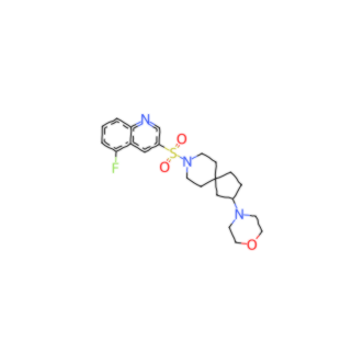 O=S(=O)(c1cnc2cccc(F)c2c1)N1CCC2(CCC(N3CCOCC3)C2)CC1